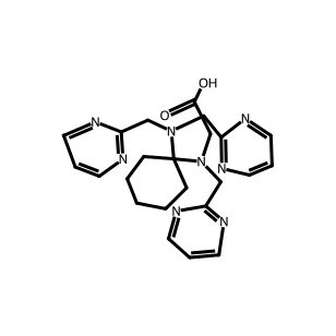 O=C(O)CN(Cc1ncccn1)C1(N(Cc2ncccn2)Cc2ncccn2)CCCCC1